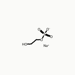 O=S(=O)([O-])OCCO.[Na+]